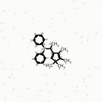 CC1=C(C)C(C)(C)[C]=C1C(C)P(c1ccccc1)c1ccccc1